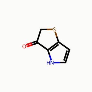 O=C1CSc2cc[nH]c21